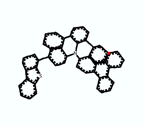 c1ccc(-c2cccc(-c3ccccc3)c2N(c2ccc(-c3cccc4c3sc3ccccc34)cc2)c2ccc3c4ccccc4c4ccccc4c3c2)cc1